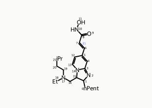 CCCCCC1N=C2C=C(/C=C/C(=O)NO)C=CN2C1CN(CC)CCC(C)C